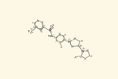 Cc1cc(NC(=O)c2cccc(C(F)(F)F)c2)ccc1N1CCC(N2CCCC2C)C1